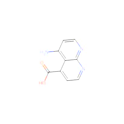 Nc1ccnc2nccc(C(=O)O)c12